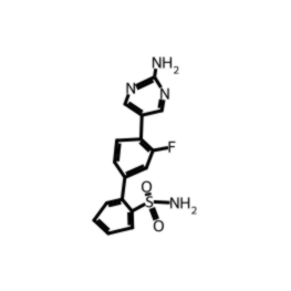 Nc1ncc(-c2ccc(-c3ccccc3S(N)(=O)=O)cc2F)cn1